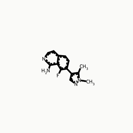 Cc1c(-c2ccc3ccnc(N)c3c2F)cnn1C